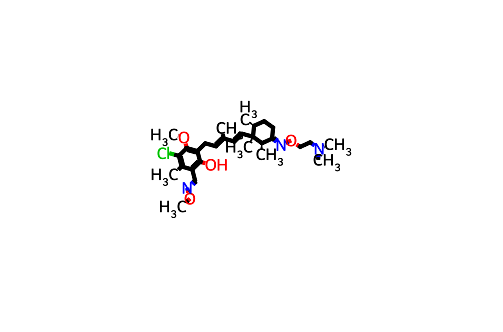 CO/N=C/c1c(C)c(Cl)c(OC)c(C/C=C(C)/C=C/[C@@]2(C)[C@H](C)CC/C(=N\OCCN(C)C)[C@@H]2C)c1O